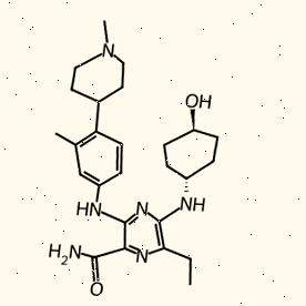 CCc1nc(C(N)=O)c(Nc2ccc(C3CCN(C)CC3)c(C)c2)nc1N[C@H]1CC[C@H](O)CC1